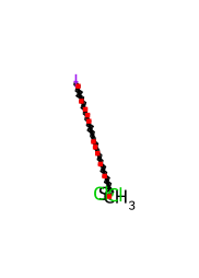 C[Si](Cl)(Cl)CCCCCCCCCCCCCCCCCCCCCCCCCCCCCCCCCCCCCCI